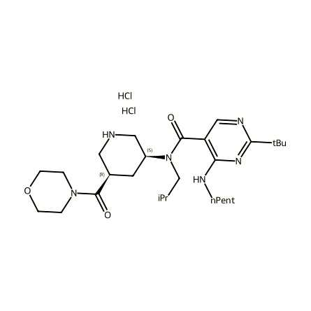 CCCCCNc1nc(C(C)(C)C)ncc1C(=O)N(CC(C)C)[C@@H]1CNC[C@H](C(=O)N2CCOCC2)C1.Cl.Cl